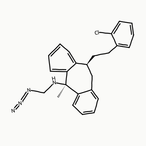 C[C@@]1(NCN=[N+]=[N-])c2ccccc2C[C@H](CCc2ccccc2Cl)c2ccccc21